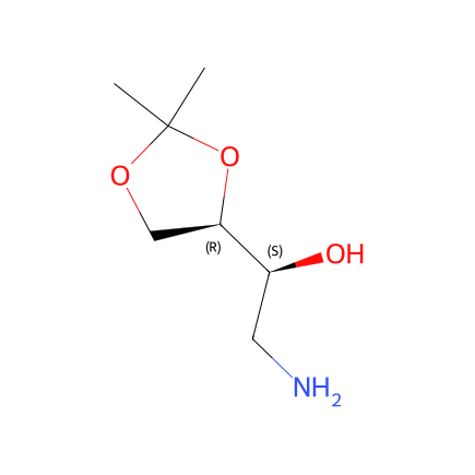 CC1(C)OC[C@H]([C@@H](O)CN)O1